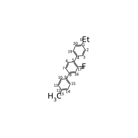 CCc1ccc(-c2ccc(-c3ccc(C)cc3)cc2F)cc1